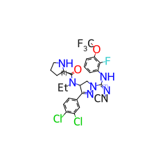 CCN(C(=O)[C@H]1CCCN1)C1CN(/C(=N\C#N)Nc2cccc(OC(F)(F)F)c2F)N=C1c1ccc(Cl)c(Cl)c1